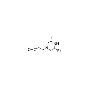 CCC1CN(CCC=O)CC(C)N1